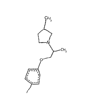 CC1CCN(C(C)COc2ccc(I)cc2)C1